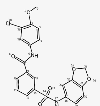 COc1ccc(NC(=O)c2cccc(S(=O)(=O)Nc3ccc4c(c3)OCO4)c2)cc1Cl